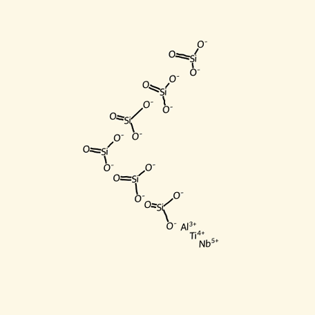 O=[Si]([O-])[O-].O=[Si]([O-])[O-].O=[Si]([O-])[O-].O=[Si]([O-])[O-].O=[Si]([O-])[O-].O=[Si]([O-])[O-].[Al+3].[Nb+5].[Ti+4]